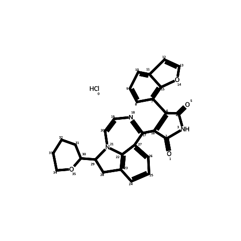 Cl.O=C1NC(=O)C(c2cccc3ccoc23)=C1C1=NC=CN2c3c(cccc31)CC2C1CCCCO1